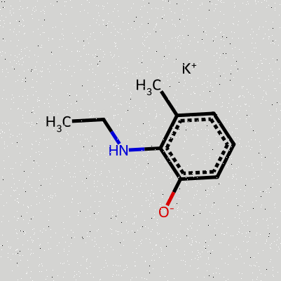 CCNc1c(C)cccc1[O-].[K+]